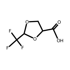 O=C(O)C1COC(C(F)(F)F)O1